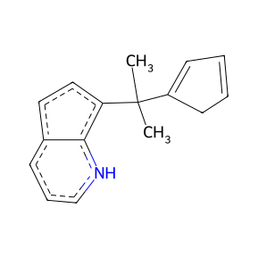 CC(C)(C1=CC=CC1)c1ccc2ccc[nH]c1-2